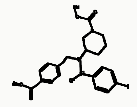 COC(=O)c1ccc(CN(C2CCCN(C(=O)OC(C)(C)C)C2)[S+]([O-])c2ccc(I)cc2)cc1